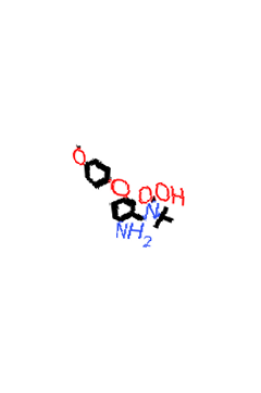 COc1ccc(Oc2ccc(N)c(CN(C(=O)O)C(C)(C)C)c2)cc1